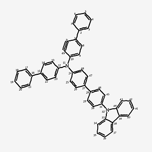 c1c(-c2ccccc2)ccc(N(c2ccc(-c3ccccc3)cc2)c2ccc(-c3ccc(-n4c5ccccc5c5ccccc54)cc3)cc2)c#1